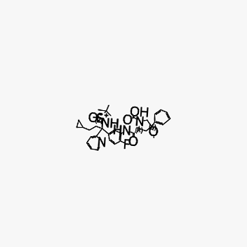 CO[C@]1(c2ccccc2)C[C@H](C(=O)Nc2cc(C(CCC3CC3)(N[S@@+]([O-])C(C)(C)C)c3ccccn3)ccc2F)N(C(=O)O)C1